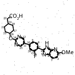 COc1ccc2nc(-c3ccc(-c4cnc(OC5CCC(CC(=O)O)CC5)nc4)cc3F)[nH]c2n1